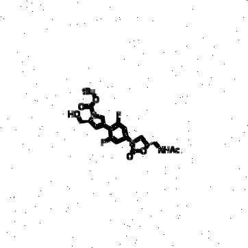 CC(=O)NC[C@H]1CN(c2cc(F)c(C3=C[C@@H](CO)N(C(=O)OC(C)(C)C)C3)c(F)c2)C(=O)O1